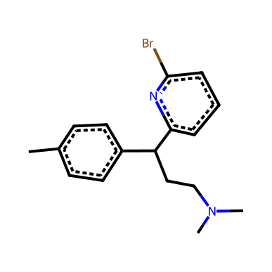 Cc1ccc(C(CCN(C)C)c2cccc(Br)n2)cc1